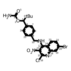 CC(C)(C)C(OC(N)=O)c1ccc(CNc2c([N+](=O)[O-])c(Cl)nc3cc(Br)ccc23)cc1